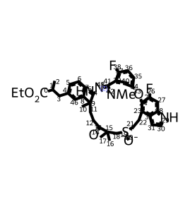 CCOC(=O)C(C)Cc1cccc(C2(C)CCC(=O)C(C)(C)C[S+]([O-])CCc3c(c(F)cc4[nH]ccc34)Oc3ccc(F)c(c3)/C(NC)=N/C2=N)c1